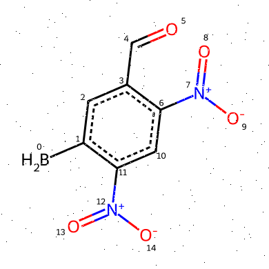 Bc1cc(C=O)c([N+](=O)[O-])cc1[N+](=O)[O-]